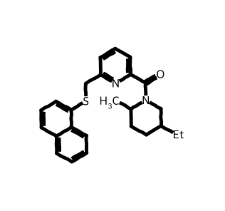 CCC1CCC(C)N(C(=O)c2cccc(CSc3cccc4ccccc34)n2)C1